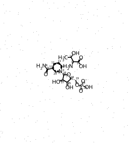 CC(O)C(N)C(=O)O.NC(=O)c1ccc[n+]([C@@H]2O[C@H](COP(=O)([O-])O)[C@@H](O)[C@H]2O)c1